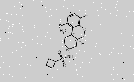 C[C@@]12CC[C@@H](NS(=O)(=O)C3CCC3)C[C@@H]1COc1c(F)ccc(F)c12